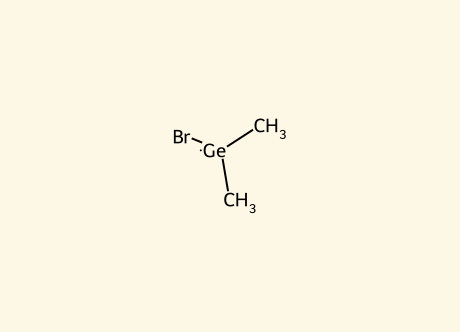 [CH3][Ge]([CH3])[Br]